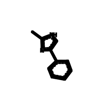 Cc1nc(-c2ccccc2)c[nH]1